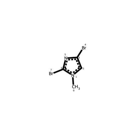 Cn1cc(Br)nc1Br